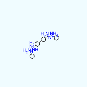 N/C(=N\N(N)c1ccccc1)c1ccc(-c2ccc(C(N)NN(N)c3ccccc3)cc2)cc1